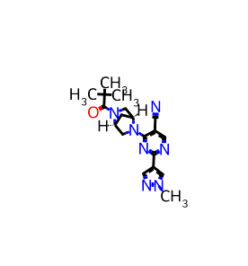 Cn1cc(-c2ncc(C#N)c(N3C[C@@H]4C[C@H]3CN4C(=O)C(C)(C)C)n2)cn1